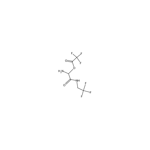 NC(OC(=O)C(F)(F)F)C(=O)NCC(F)(F)F